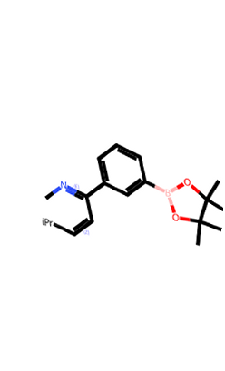 C/N=C(\C=C/C(C)C)c1cccc(B2OC(C)(C)C(C)(C)O2)c1